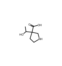 CC(O)C1(C(=O)O)CCNC1